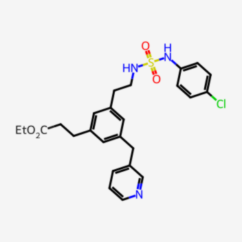 CCOC(=O)CCc1cc(CCNS(=O)(=O)Nc2ccc(Cl)cc2)cc(Cc2cccnc2)c1